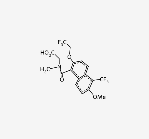 COc1ccc2c(C(=O)N(C)CC(=O)O)c(OCC(F)(F)F)ccc2c1C(F)(F)F